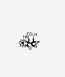 Cc1c(C2(CNC(=O)O)NC(=O)NC2=O)cnn1C